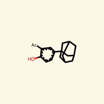 CC(=O)c1cc(C23CC4CC(CC(C4)C2)C3)ccc1O